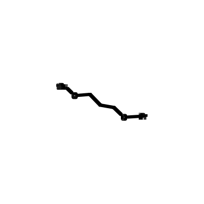 CC(C)OCCCOC(C)(C)C